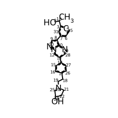 CC(O)c1cccc(-c2cnn3cc(-c4ccc(CCN5CCC(O)C5)cc4)cnc23)c1